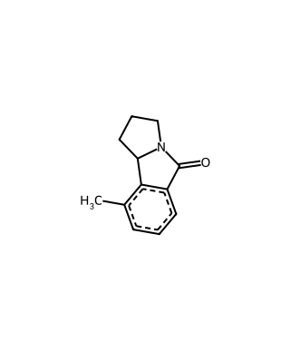 Cc1cccc2c1C1CCCN1C2=O